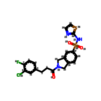 O=C(CCc1ccc(F)c(Cl)c1)N1Cc2ccc(S(=O)(=O)Nc3nccs3)cc2C1